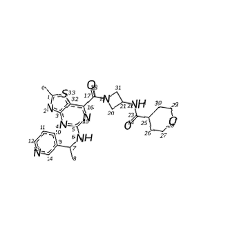 Cc1nc2nc(NC(C)c3cccnc3)nc(C(=O)N3CC(NC(=O)C4CCOCC4)C3)c2s1